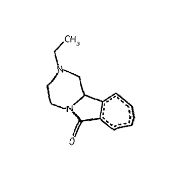 CCN1CCN2C(=O)c3ccccc3C2C1